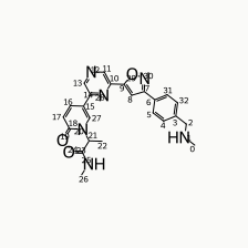 CNCc1ccc(-c2cc(-c3cncc(-c4ccc(=O)n(C(C)C(=O)NC)c4)n3)on2)cc1